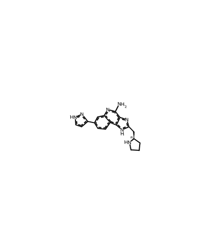 Nc1nc2cc(-c3cc[nH]n3)ccc2c2[nH]c(C[C@H]3CCCN3)nc12